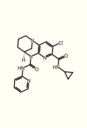 O=C(NC1CC1)c1nc2c(cc1Cl)N1CCC[C@@H](C1)N2C(=O)Nc1ccccn1